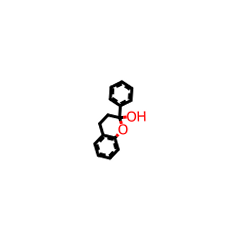 OC1(c2ccccc2)CCc2ccccc2O1